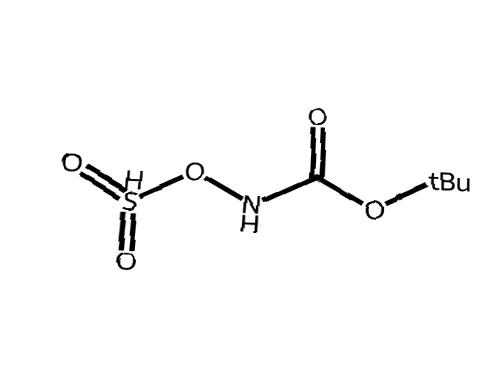 CC(C)(C)OC(=O)NO[SH](=O)=O